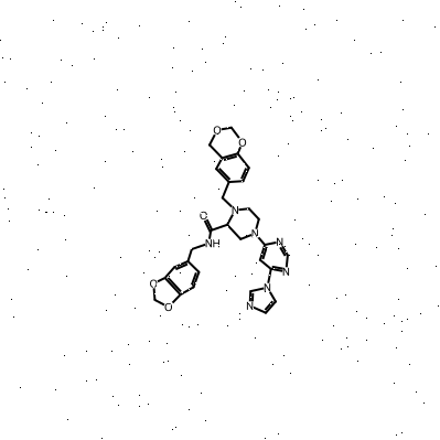 O=C(NCc1ccc2c(c1)OCO2)C1CN(c2cc(-n3ccnc3)ncn2)CCN1Cc1ccc2c(c1)COCO2